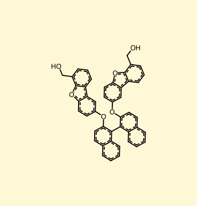 OCc1cccc2c1oc1ccc(Oc3ccc4ccccc4c3-c3c(Oc4ccc5oc6c(CO)cccc6c5c4)ccc4ccccc34)cc12